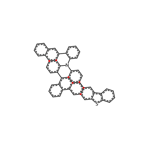 c1ccc(N(c2ccc(-c3ccc4sc5ccccc5c4c3)cc2)c2ccccc2-c2cc3ccccc3c3ccccc23)c(-c2ccc3ccccc3c2)c1